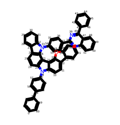 c1ccc(-c2ccc(-n3c4ccc5c6ccccc6oc5c4c4c3ccc3c5ccccc5n(-c5ccc(-c6nc(-c7ccccc7)c7ccccc7n6)cc5)c34)cc2)cc1